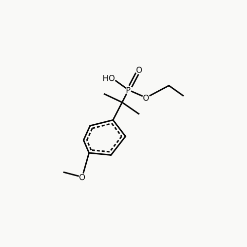 CCOP(=O)(O)C(C)(C)c1ccc(OC)cc1